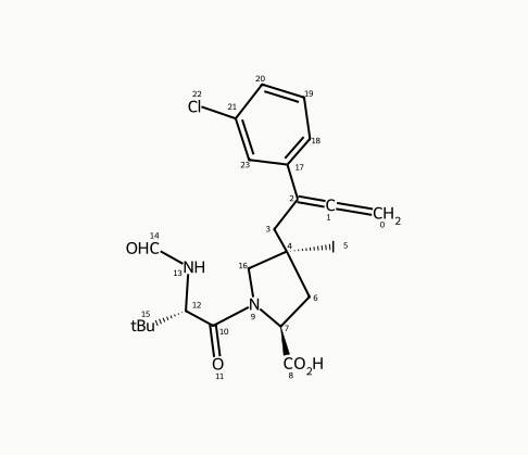 C=C=C(C[C@@]1(I)C[C@@H](C(=O)O)N(C(=O)[C@@H](NC=O)C(C)(C)C)C1)c1cccc(Cl)c1